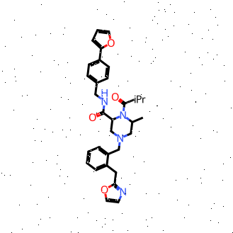 CC(C)C(=O)N1C(C)CN(Cc2ccccc2Cc2ncco2)CC1C(=O)NCc1ccc(-c2ccco2)cc1